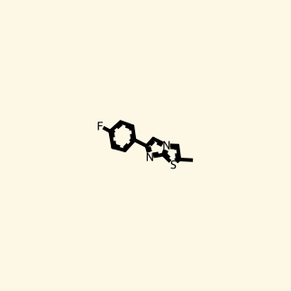 Cc1cn2cc(-c3ccc(F)cc3)nc2s1